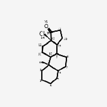 C[C@]12CCCCC1CCC1C2CC[C@]2(Cl)C(=O)CCC12